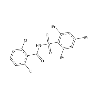 CC(C)c1cc(C(C)C)c(S(=O)(=O)NC(=O)c2c(Cl)cccc2Cl)c(C(C)C)c1